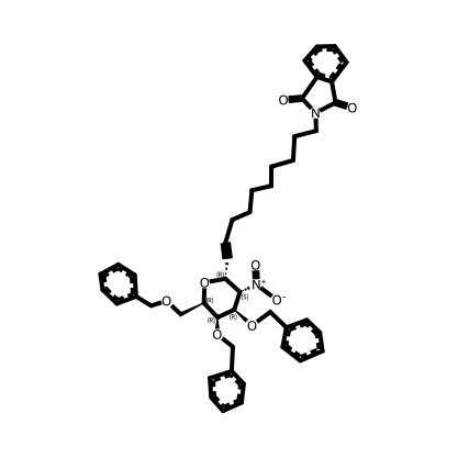 O=C1c2ccccc2C(=O)N1CCCCCCCCC#C[C@H]1O[C@H](COCc2ccccc2)[C@H](OCc2ccccc2)[C@H](OCc2ccccc2)[C@H]1[N+](=O)[O-]